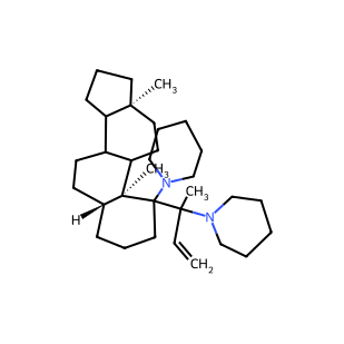 C=CC(C)(N1CCCCC1)C1(N2CCCCC2)CCC[C@@H]2CCC3C4CCC[C@@]4(C)CCC3[C@]21C